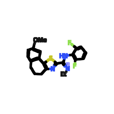 CC/N=C(/Nc1c(F)cccc1F)c1nc2c(s1)-c1cc(OC)ccc1CCC2